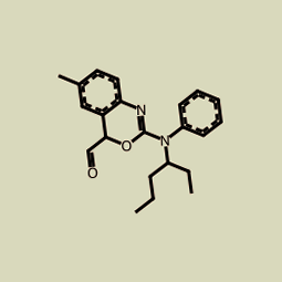 CCCC(CC)N(C1=Nc2ccc(C)cc2C(C=O)O1)c1ccccc1